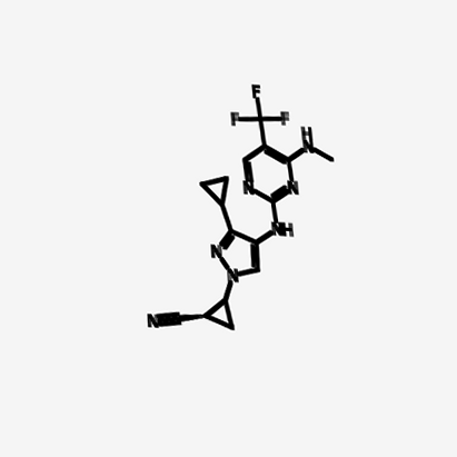 CNc1nc(Nc2cn(C3C[C@H]3C#N)nc2C2CC2)ncc1C(F)(F)F